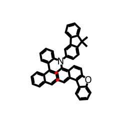 CC1(C)c2ccccc2-c2cc(N(c3ccccc3-c3cccc4ccccc34)c3cccc4c3ccc3oc5ccccc5c34)ccc21